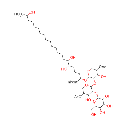 CCCCCC(CCCC(O)C(O)CCCCCCCCCCCCCC(O)C(=O)O)OC1OCC(OC(C)=O)C(O)C1OC1OCC(OC(C)=O)C(O)C1OC1OC(CO)C(O)C(O)C1O